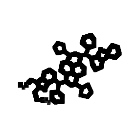 C=Cc1c(/C=C\C)oc2c(N(c3ccccc3)c3cc(C4CCCC4)c4ccc5c(N(c6ccccc6)c6cccc7c6oc6ccccc67)cc(C6CCCC6)c6ccc3c4c65)cccc12